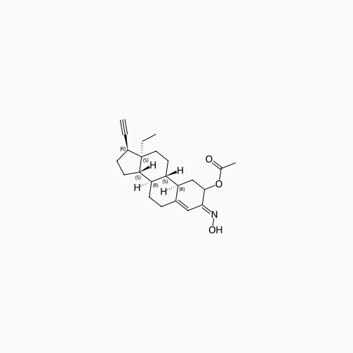 C#C[C@@H]1CC[C@H]2[C@@H]3CCC4=CC(=NO)C(OC(C)=O)C[C@@H]4[C@H]3CC[C@]12CC